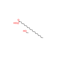 CCCCCCCCCCCCCCCCCC(=O)OO.CCO